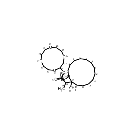 CC(C)C1(C)CCCCCCCCCCCCC1(C)C(C)C(=O)OC1COCCOCCOCCO1